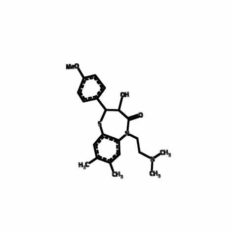 COc1ccc(C2Sc3cc(C)c(C)cc3N(CCN(C)C)C(=O)C2O)cc1